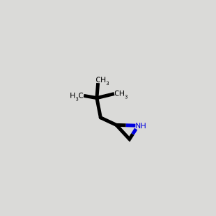 CC(C)(C)CC1CN1